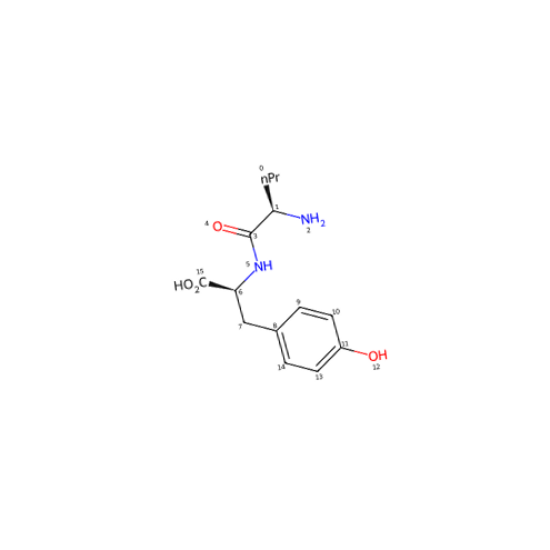 CCC[C@@H](N)C(=O)N[C@@H](Cc1ccc(O)cc1)C(=O)O